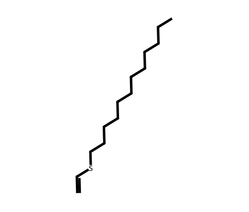 C=CSCCCCCCCCCCCC